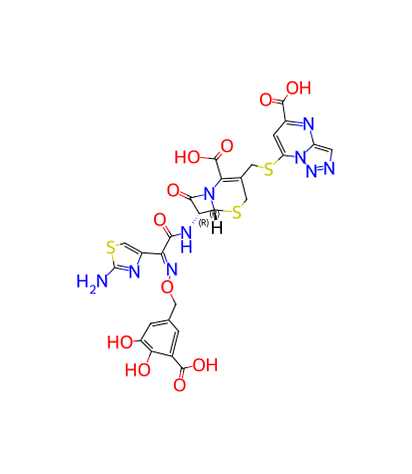 Nc1nc(C(=NOCc2cc(O)c(O)c(C(=O)O)c2)C(=O)N[C@@H]2C(=O)N3C(C(=O)O)=C(CSc4cc(C(=O)O)nc5cnnn45)CS[C@H]23)cs1